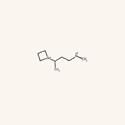 CNCCN(C)[SH]1CCC1